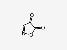 O=C1C=NOC1=O